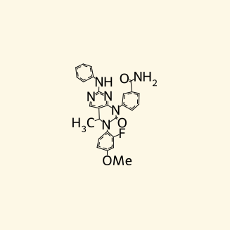 COc1ccc(N2C(=O)N(c3cccc(C(N)=O)c3)c3nc(Nc4ccccc4)ncc3C2C)c(F)c1